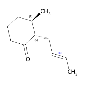 C/C=C/C[C@@H]1C(=O)CCC[C@H]1C